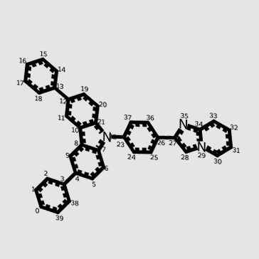 c1ccc(-c2ccc3c(c2)c2cc(-c4ccccc4)ccc2n3-c2ccc(-c3cn4ccccc4n3)cc2)cc1